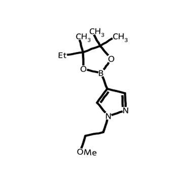 CCC1(C)OB(c2cnn(CCOC)c2)OC1(C)C